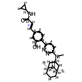 CN(c1ccc(-c2ccc(/C=C/C(=O)NC3CC3)cc2O)nn1)C1C[C@]2(C)CCC[C@](C)(C1)N2